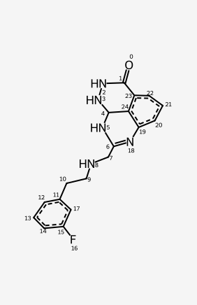 O=C1NNC2NC(CNCCc3cccc(F)c3)=Nc3cccc1c32